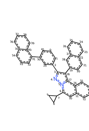 c1cc(-c2nn3c(C4CC4)cc4ccccc4c3c2-c2ccc3ccccc3c2)cc(-c2cccc3ccccc23)c1